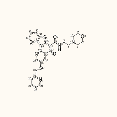 O=C(NCCN1CCOCC1)c1c(=O)c2cc(SCc3ccccn3)cnc2n2c1sc1ccccc12